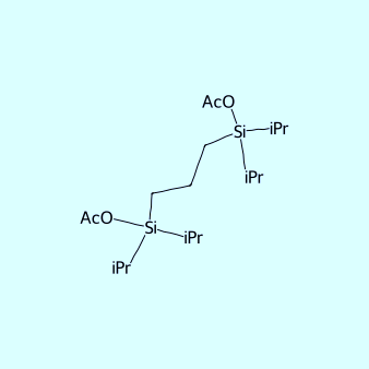 CC(=O)O[Si](CCC[Si](OC(C)=O)(C(C)C)C(C)C)(C(C)C)C(C)C